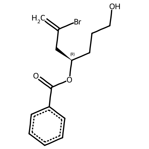 C=C(Br)C[C@@H](CCCO)OC(=O)c1ccccc1